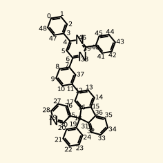 c1ccc(-c2cc(-c3cccc(-c4ccc5c(c4)C(c4ccccc4)(c4cccnc4)c4ccccc4-5)c3)nc(-c3ccccc3)n2)cc1